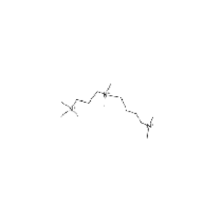 C[N+](C)(C)CCCC[N+](C)(C)CCC[N+](C)(C)C